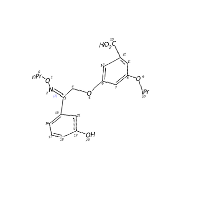 CCCO/N=C(\COc1cc(OC(C)C)cc(C(=O)O)c1)c1cccc(O)c1